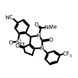 CC[S+]([O-])c1cc(C#N)ccc1C1C2=C(CCC2=O)N(c2cccc(C(F)(F)F)c2)C(=O)N1C(=O)NC